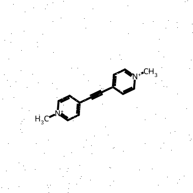 C[n+]1ccc(C#Cc2cc[n+](C)cc2)cc1